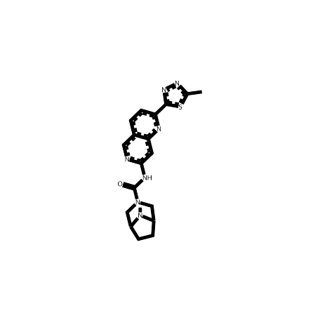 Cc1nnc(-c2ccc3cnc(NC(=O)N4CC5CCC(C4)N5C)cc3n2)s1